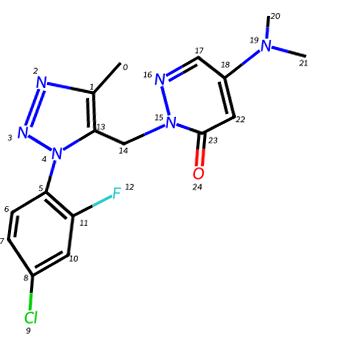 Cc1nnn(-c2ccc(Cl)cc2F)c1Cn1ncc(N(C)C)cc1=O